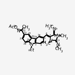 CCn1c2ccc(/C=C3/C(=N\C)N(C)/C(=N/C)N3C)cc2c2cc(/C(C)=N/OC(C)=O)ccc21